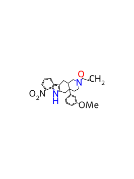 C=CC(=O)N1CCC2(c3cccc(OC)c3)Cc3[nH]c4c([N+](=O)[O-])cccc4c3CC2C1